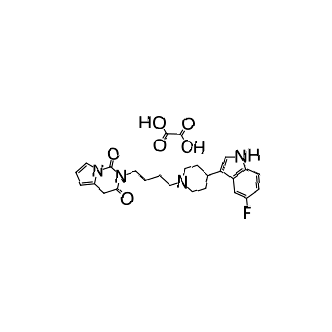 O=C(O)C(=O)O.O=C1Cc2cccn2C(=O)N1CCCCN1CCC(c2c[nH]c3ccc(F)cc23)CC1